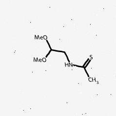 COC(CNC(C)=S)OC